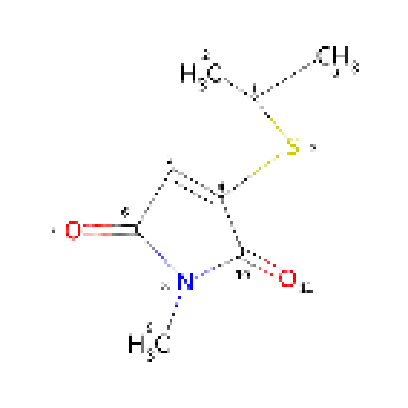 CC(C)SC1=CC(=O)N(C)C1=O